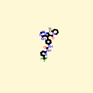 CC1CCCCN1C(=O)c1cn2ncnc(N)c2c1-c1ccc(NC(=O)Nc2cccc(C(F)(F)F)n2)cc1